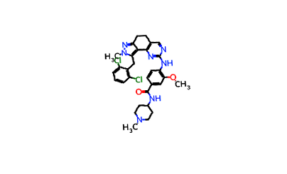 COc1cc(C(=O)NC2CCN(C)CC2)ccc1Nc1ncc2c(n1)-c1c(nn(C)c1Cc1c(Cl)cccc1Cl)CC2